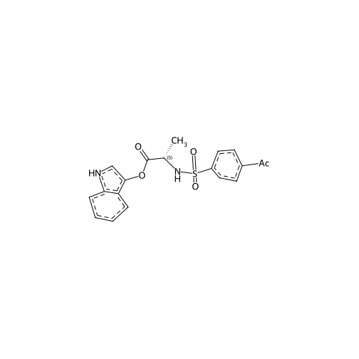 CC(=O)c1ccc(S(=O)(=O)N[C@@H](C)C(=O)Oc2c[nH]c3ccccc23)cc1